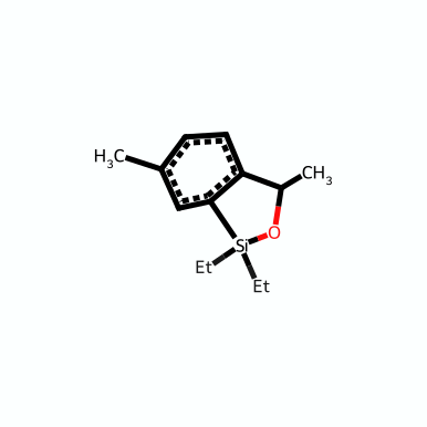 CC[Si]1(CC)OC(C)c2ccc(C)cc21